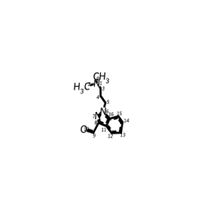 CN(C)CCCn1nc(C=O)c2ccccc21